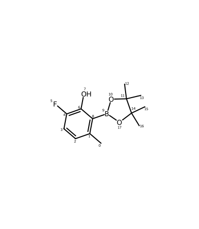 Cc1ccc(F)c(O)c1B1OC(C)(C)C(C)(C)O1